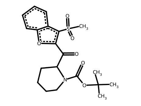 CC(C)(C)OC(=O)N1CCCCC1C(=O)c1oc2ccccc2c1S(C)(=O)=O